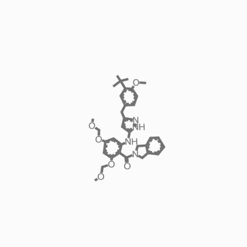 COCOc1cc(Nc2cc(Cc3ccc(OC)c(C(C)(C)C)c3)n[nH]2)c(C(=O)N2Cc3ccccc3C2)c(OCOC)c1